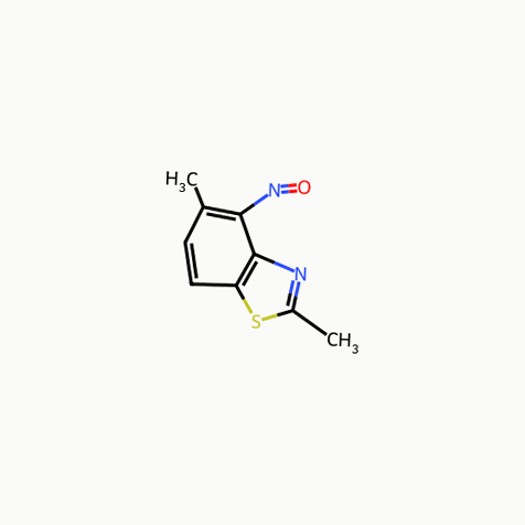 Cc1nc2c(N=O)c(C)ccc2s1